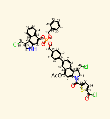 CC(=O)Oc1cc2c(c3ccc(-c4ccc(COP(=O)(OCc5ccccc5)Oc5cc6c(c7ccccc57)[C@H](CCl)CN6)cc4)cc13)[C@H](CCl)CN2C(=O)c1ccc(C(=O)Cl)s1